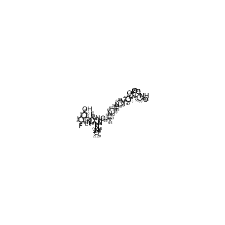 CCc1c(F)ccc2cc(O)cc(-c3ncc4c(N5CC6CCC(C5)N6)nc(OCC5(CN6CCC(F)(CN7CCN(c8ccc9c(c8)oc(=O)n9C8CCC(=O)NC8=O)CC7)CC6)CC5)nc4c3F)c12